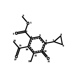 COC(=O)c1cn(C2CC2)c(=O)c(C)c1C(C)=O